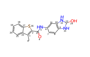 Cc1c(C(=O)Nc2ccc3c(c2)NC(O)N3)sc2ccccc12